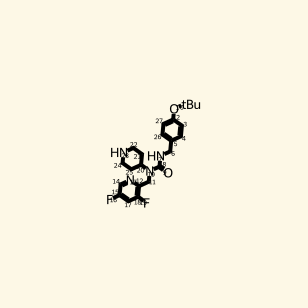 CC(C)(C)Oc1ccc(CNC(=O)N(Cc2ncc(F)cc2F)C2CCNCC2)cc1